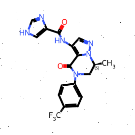 C[C@H]1CN(c2ccc(C(F)(F)F)cc2)C(=O)c2c(NC(=O)c3c[nH]cn3)cnn21